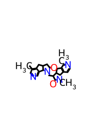 Cc1cncc2c1CC1CC(=O)N(CC3C(=O)N(C)C4c5ccnc(C)c5CC34)C21